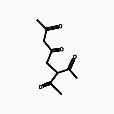 CC(=O)CC(=O)CC(C(C)=O)C(C)=O